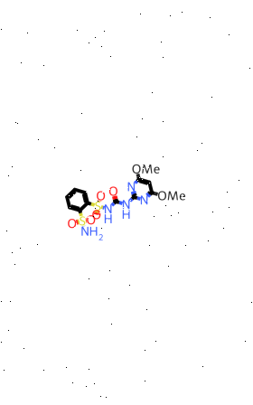 COc1cc(OC)nc(NC(=O)NS(=O)(=O)c2ccccc2S(N)(=O)=O)n1